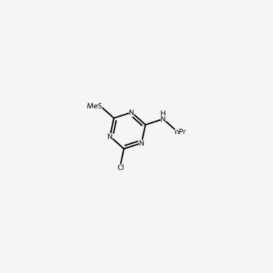 CCCNc1nc(Cl)nc(SC)n1